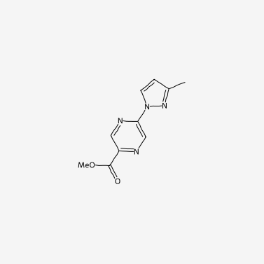 COC(=O)c1cnc(-n2ccc(C)n2)cn1